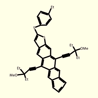 CCc1ccc(Sc2cc3cc4c(C#CC(CC)(CC)OC)c5cc6ccccc6cc5c(C#CC(CC)(CC)OC)c4cc3s2)cc1